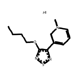 CCCCOc1nsnc1C1=CC=CN(C)C1.I